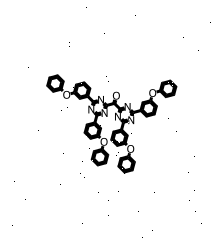 O=C(c1nc(-c2cccc(Oc3ccccc3)c2)nc(-c2cccc(Oc3ccccc3)c2)n1)c1nc(-c2cccc(Oc3ccccc3)c2)nc(-c2cccc(Oc3ccccc3)c2)n1